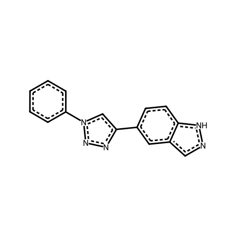 c1ccc(-n2cc(-c3ccc4[nH]ncc4c3)nn2)cc1